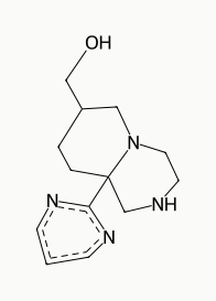 OCC1CCC2(c3ncccn3)CNCCN2C1